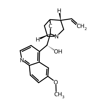 C=C[C@@H]1CN2CCC1C[C@H]2[C@H](O)c1ccnc2ccc(OC)cc12